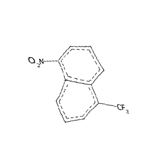 O=[N+]([O-])c1cccc2c(C(F)(F)F)cccc12